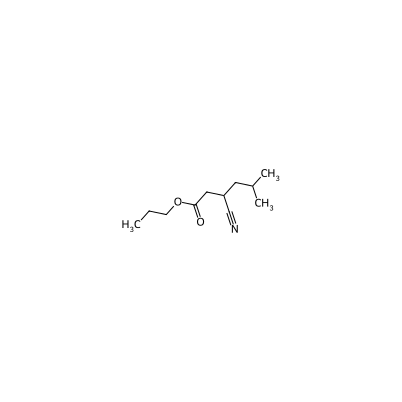 CCCOC(=O)CC(C#N)CC(C)C